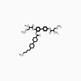 C=C(COC)C(=O)Oc1ccc(-c2ccc(OC(=O)C(=C)COC)c(OC(=O)C3CCC(C4CCC(CCCCC)CC4)CC3)c2)cc1